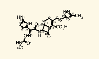 CCNC(=O)ON=C(C(=O)NC1C(=O)N2C(C(=O)O)=C(CSc3nnc(C)s3)CS[C@@H]12)c1csc(=N)[nH]1